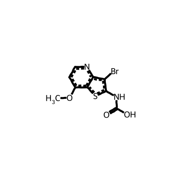 COc1ccnc2c(Br)c(NC(=O)O)sc12